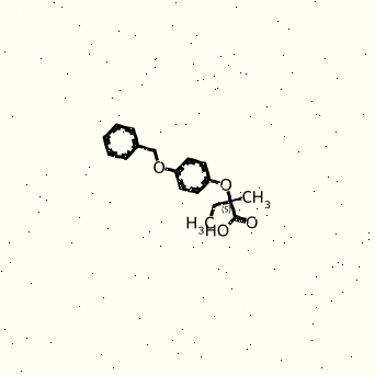 CC[C@](C)(Oc1ccc(OCc2ccccc2)cc1)C(=O)O